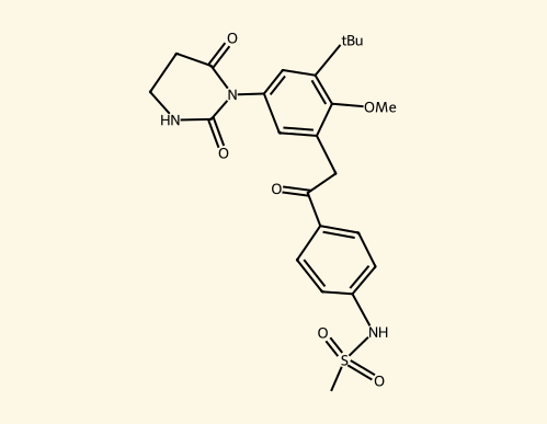 COc1c(CC(=O)c2ccc(NS(C)(=O)=O)cc2)cc(N2C(=O)CCNC2=O)cc1C(C)(C)C